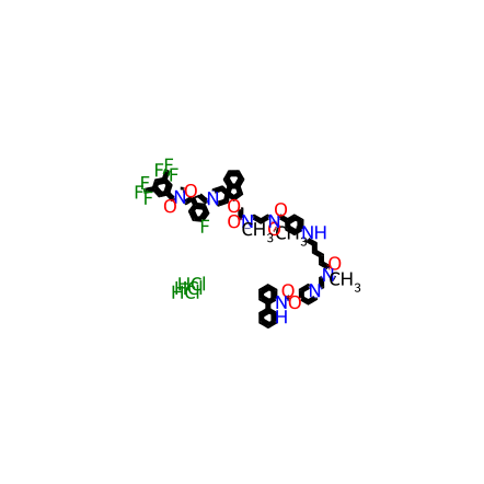 CON(CCCN(C)C(=O)CO[C@H]1Cc2ccccc2C12CCN(CC[C@@]1(c3ccc(F)cc3)CN(C(=O)c3cc(C(F)(F)F)cc(C(F)(F)F)c3)CO1)CC2)C(=O)c1ccc(NCCCCCC(=O)N(C)CCN2CCC(OC(=O)Nc3ccccc3-c3ccccc3)CC2)cc1.Cl.Cl.Cl